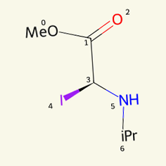 COC(=O)[C@H](I)NC(C)C